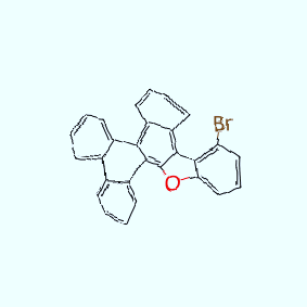 Brc1cccc2oc3c(c4ccccc4c4c5ccccc5c5ccccc5c34)c12